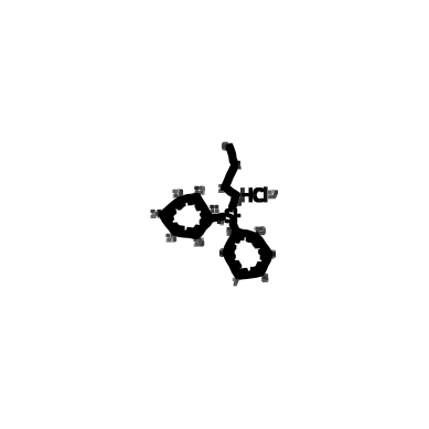 CCCC[Si](c1ccccc1)c1ccccc1.Cl